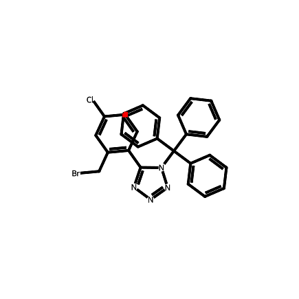 Clc1ccc(-c2nnnn2C(c2ccccc2)(c2ccccc2)c2ccccc2)c(CBr)c1